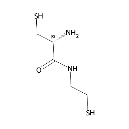 N[C@@H](CS)C(=O)NCCS